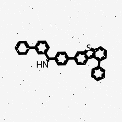 N=C(c1ccc(-c2ccc3c(c2)sc2cccc(-c4ccccc4)c23)cc1)c1cccc(C2=CC=CCC2)c1